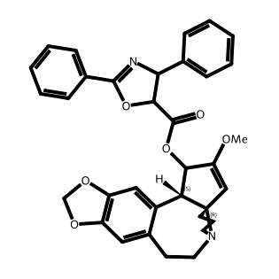 COC1=C[C@]23CCCN2CCc2cc4c(cc2[C@@H]3C1OC(=O)C1OC(c2ccccc2)=NC1c1ccccc1)OCO4